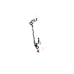 CCn1nc(C2CC2)cc1Nc1nc(C(=O)NCCOCCOCCOCCCCNc2cccc3c2CN(C2CCC(=O)NC2=O)C3=O)nc2[nH]c3cc(-c4c(C)noc4C)c(OC)cc3c12